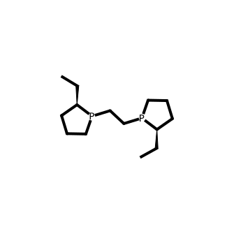 CC[C@@H]1CCCP1CCP1CCC[C@H]1CC